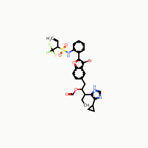 C=CC(C(F)(F)F)S(=O)(=O)Nc1ccccc1-c1oc2ccc(CC(OC=O)C(CC)c3[nH]cnc3C3CC3)cc2c1Br